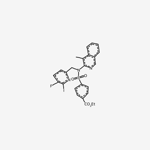 CCOC(=O)c1ccc(S(=O)(=O)N(Cc2ccc(F)c(I)n2)c2ncc3ccccc3c2C)cc1